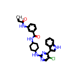 C=CC(=O)Nc1cccc(C(=O)NC2CCC(Nc3ncc(Cl)c(-c4c[nH]c5ccccc45)n3)CC2)c1